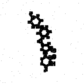 C=C1CCC(N2CC(Oc3cccc(C4CCN(C)CC4)c3)=CC2=O)C(=O)N1